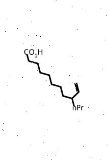 C=CC(CCC)CCCCCCCC(=O)O